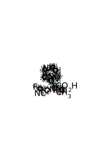 C[C@@H]1CN([C@H]2CC[C@](C#N)(c3ccc(F)cc3)CC2)CC[C@]1(C(=O)O)c1ccccc1.c1ccc(CN(CC2=NCCN2)c2ccccc2)cc1.c1ccc2c(CC3=NCCN3)cccc2c1